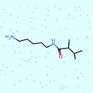 CC(C)C(C)C(=O)NCCCCCN